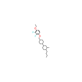 CCCCC1CCC(C2CCC(COc3ccc(OCC)c(F)c3F)CC2)CC1C